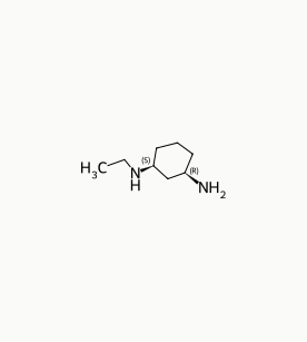 CCN[C@H]1CCC[C@@H](N)C1